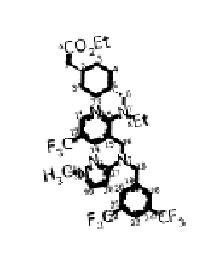 CCOC(=O)C[C@H]1CC[C@H](CN(CC)c2ncc(C(F)(F)F)cc2CN(Cc2cc(C(F)(F)F)cc(C(F)(F)F)c2)c2ccn(C)n2)CC1